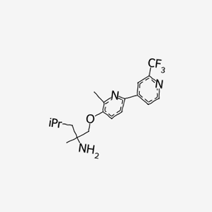 Cc1nc(-c2ccnc(C(F)(F)F)c2)ccc1OCC(C)(N)CC(C)C